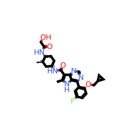 Cc1[nH]c2c(-c3cc(F)ccc3OCC3CC3)ncnc2c1C(=O)N[C@@H]1CC[C@H](NC(=O)CO)[C@H](C)C1